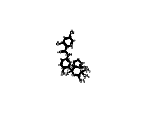 CC1(C)C(N)=N[C@](C)(c2nc(NC(=O)c3ncc(C#N)cc3Cl)ccc2F)[C@@H]2CCN=[S@@]21=O